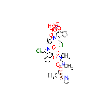 CC(COC(=O)N(C)CCN(C)C(=O)Oc1cc2c(c3ccccc13)C(CCl)CN2C(=O)C12CC3(C(=O)N4CC(CCl)c5c4cc(OP(=O)(O)O)c4ccccc54)CC13C2)SSc1ccccn1